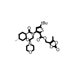 Cc1oc(=O)oc1COC(=O)c1sc(C(C)(C)C)cc1N(CC(=O)N1CCOCC1)C(=O)[C@H]1CC[C@H](C)CC1